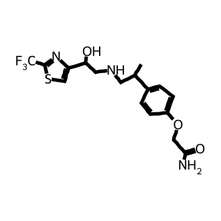 CC(CNCC(O)c1csc(C(F)(F)F)n1)c1ccc(OCC(N)=O)cc1